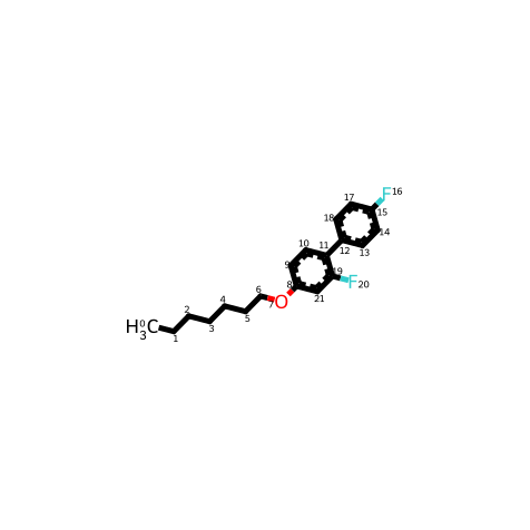 CCCCCCCOc1ccc(-c2ccc(F)cc2)c(F)c1